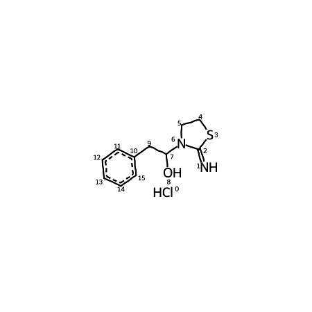 Cl.N=C1SCCN1C(O)Cc1ccccc1